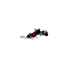 CC(C)C1=C2[C@H]3CC[C@@H]4[C@@]5(C)CC[C@H](OC(=O)[C@H]6C[C@@H](C(=O)O)C6(C)C)C(C)(C)[C@@H]5CC[C@@]4(C)[C@]3(C)CC[C@@]2([C@@H](O)CNCC(C)(C)NC(=O)c2ccccc2Cl)CC1=O